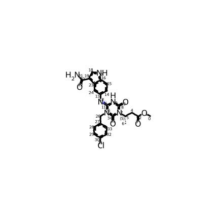 COC(=O)C[C@H](C)n1c(=O)[nH]/c(=N\c2ccc3[nH]cc(C(N)=O)c3c2)n(Cc2ccc(Cl)cc2)c1=O